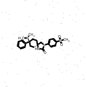 CN(C)[C@]1(c2ccccc2)CC[C@]2(CC1)CN(c1ccc(S(C)(=O)=O)cc1)C(=O)N2